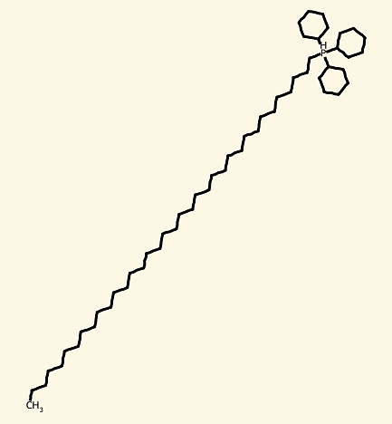 CCCCCCCCCCCCCCCCCCCCCCCCCCCCCCCCCCCC[PH](C1CCCCC1)(C1CCCCC1)C1CCCCC1